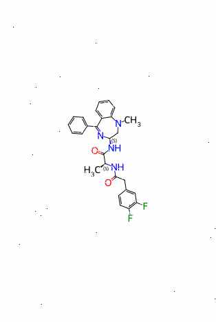 C[C@H](NC(=O)Cc1ccc(F)c(F)c1)C(=O)N[C@@H]1CN(C)c2ccccc2C(c2ccccc2)=N1